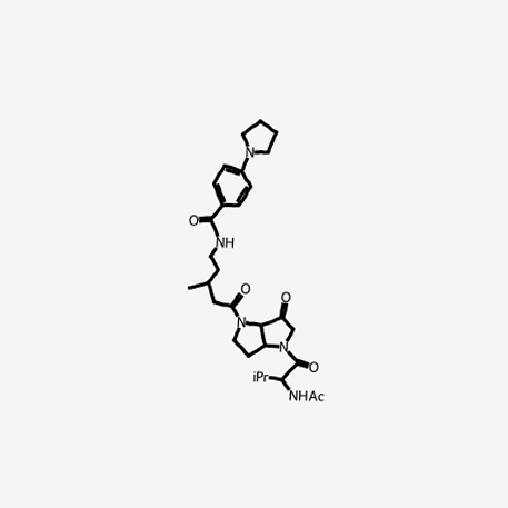 CC(=O)NC(C(=O)N1CC(=O)C2C1CCN2C(=O)CC(C)CCNC(=O)c1ccc(N2CCCC2)cc1)C(C)C